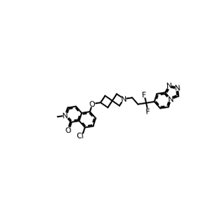 Cn1ccc2c(OC3CC4(C3)CN(CCC(F)(F)c3ccn5cnnc5c3)C4)ccc(Cl)c2c1=O